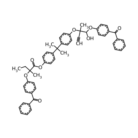 C#CC(C)(Oc1ccc(C(C)(C)c2ccc(OC(=O)C(C)(CC)Oc3ccc(C(=O)c4ccccc4)cc3)cc2)cc1)C(O)Oc1ccc(C(=O)c2ccccc2)cc1